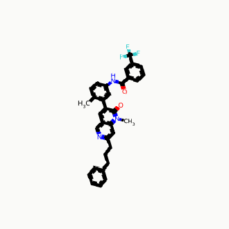 Cc1ccc(NC(=O)c2cccc(C(F)(F)F)c2)cc1-c1cc2cnc(CCCc3ccccc3)cc2n(C)c1=O